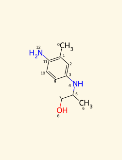 Cc1cc(NC(C)CO)ccc1N